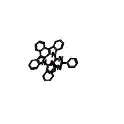 C1=CCC(c2nc(C3CCCCC3)nc(N3C4=C(C5C=CC=CC5c5c6c(n(-c7ccccc7)c54)C=CCC6)C4CCC=CC43)n2)C=C1